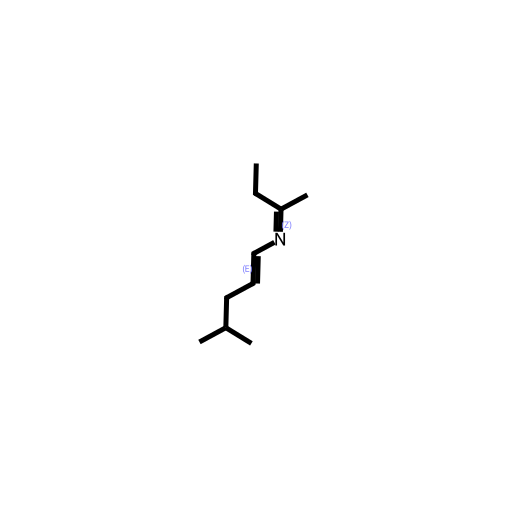 CC/C(C)=N\C=C\CC(C)C